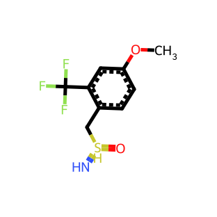 COc1ccc(C[SH](=N)=O)c(C(F)(F)F)c1